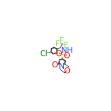 O=c1cc(S(=O)(=O)N[C@H](c2ccc(Cl)cc2)C(F)(F)F)cc2n1CCOC2